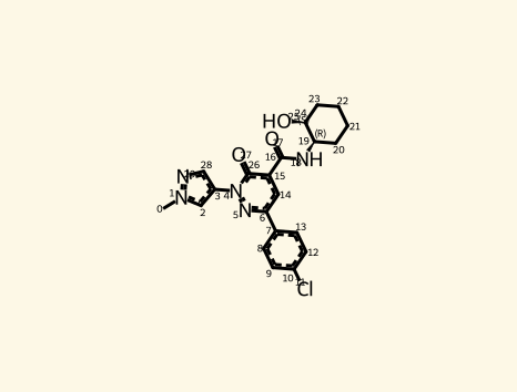 Cn1cc(-n2nc(-c3ccc(Cl)cc3)cc(C(=O)N[C@@H]3CCCC[C@@H]3O)c2=O)cn1